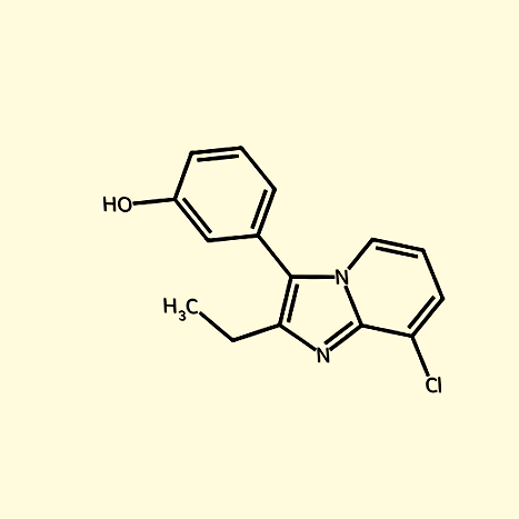 CCc1nc2c(Cl)cccn2c1-c1cccc(O)c1